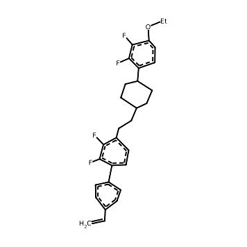 C=Cc1ccc(-c2ccc(CCC3CCC(c4ccc(OCC)c(F)c4F)CC3)c(F)c2F)cc1